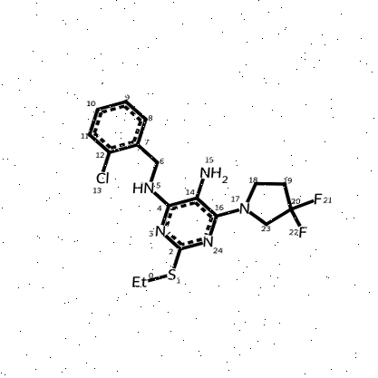 CCSc1nc(NCc2ccccc2Cl)c(N)c(N2CCC(F)(F)C2)n1